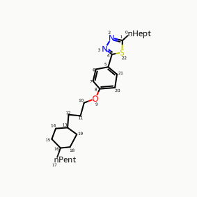 CCCCCCCc1nnc(-c2ccc(OCCCC3CCC(CCCCC)CC3)cc2)s1